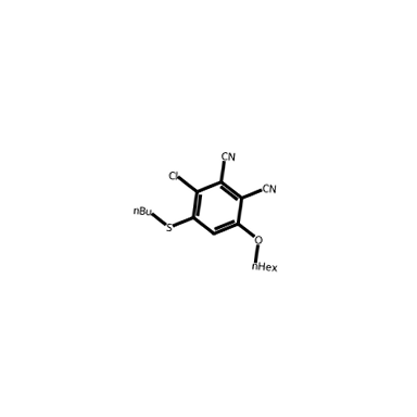 CCCCCCOc1cc(SCCCC)c(Cl)c(C#N)c1C#N